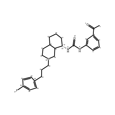 CC(=O)c1cccc(NC(=O)N[C@H]2CCCC3CCN(CCCc4ccc(F)cc4)CC32)c1